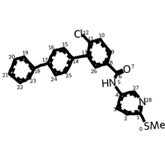 CSc1ccc(NC(=O)c2ccc(Cl)c(-c3ccc(-c4ccccc4)cc3)c2)cn1